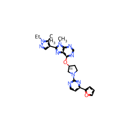 CCn1ncc(-c2nc3c(O[C@H]4CCN(c5nccc(-c6ccco6)n5)C4)ncnc3n2C)c1C